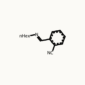 CCCCCCN=Cc1ccccc1C#N